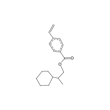 C=Cc1ccc(C(=O)OCC(C)C2CCCCC2)cc1